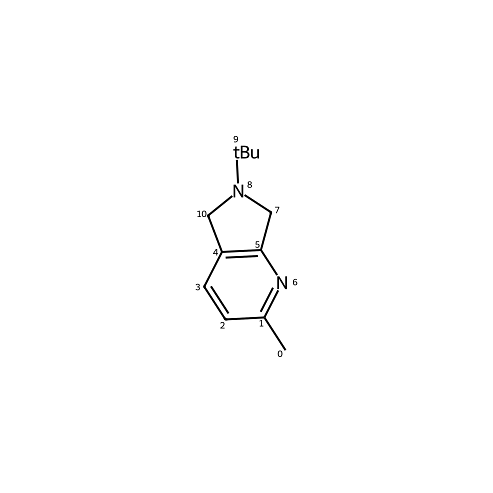 Cc1ccc2c(n1)CN(C(C)(C)C)C2